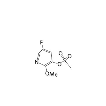 COc1ncc(F)cc1OS(C)(=O)=O